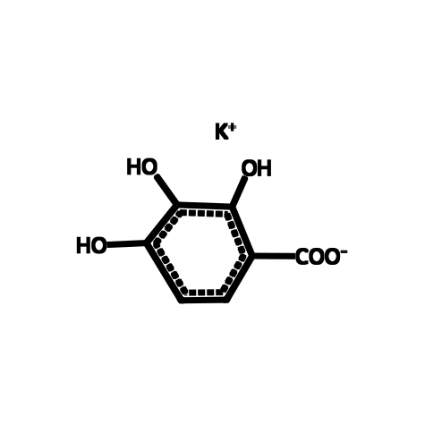 O=C([O-])c1ccc(O)c(O)c1O.[K+]